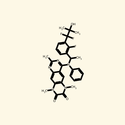 Cc1nc(N(c2ccccc2)C(C)c2cccc(C(F)(F)C(C)(C)O)c2F)c2cc3c(cc2n1)n(C)c(=O)c(=O)n3C